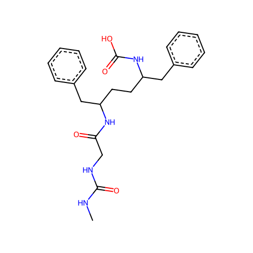 CNC(=O)NCC(=O)NC(CCC(Cc1ccccc1)NC(=O)O)Cc1ccccc1